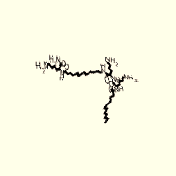 CCCCCC/C=C\CCCC(=O)NC(CCCCN)C(=O)NC(CCCCN)C(=O)NCCCCCCCCCCCC(=O)NC(CCCCN)C(N)=O